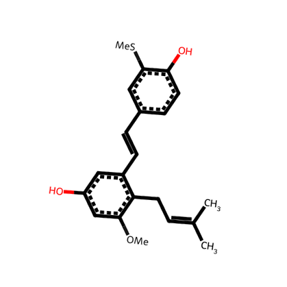 COc1cc(O)cc(/C=C/c2ccc(O)c(SC)c2)c1CC=C(C)C